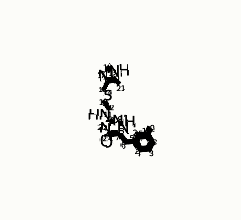 Cc1cccc(Cc2n[nH]c(NCCSCc3nc[nH]c3C)nc2=O)c1